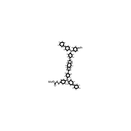 CCCc1ccc(N(c2ccc(-c3ccccc3)cc2)c2ccc(-c3nc4cc5sc(-c6ccc(N(c7ccc(CCC(=O)OC)cc7)c7ccc(-c8ccccc8)cc7)cc6)nc5cc4s3)cc2)cc1